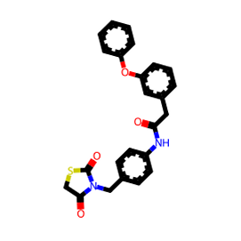 O=C(Cc1cccc(Oc2ccccc2)c1)Nc1ccc(CN2C(=O)CSC2=O)cc1